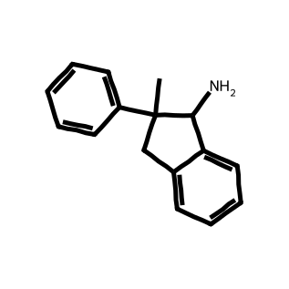 CC1(c2ccccc2)Cc2ccccc2C1N